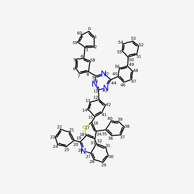 c1ccc(-c2cccc(-c3nc(-c4ccc(-c5sc6c(-c7ccccc7)nc7ccccc7c6c5-c5ccccc5)cc4)nc(-c4cccc(-c5ccccc5)c4)n3)c2)cc1